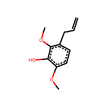 C=CCc1ccc(OC)c(O)c1OC